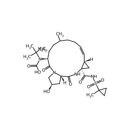 CC1CC/C=C\[C@@H]2C[C@@]2(C(=O)NS(=O)(=O)C2(C)CC2)NC(=O)[C@@H]2C[C@@H](O)CN2C(=O)[C@@H](N(C(=O)O)C(C)(C)C)[C@H](C)C1